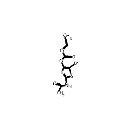 CCOC(=O)Oc1nc(NC(C)=O)sc1Br